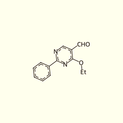 CCOc1nc(-c2ccccc2)ncc1C=O